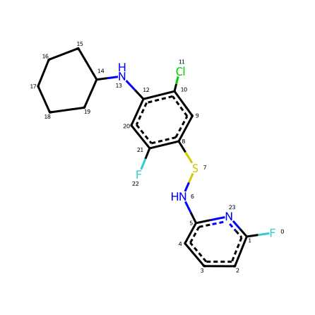 Fc1cccc(NSc2cc(Cl)c(NC3CCCCC3)cc2F)n1